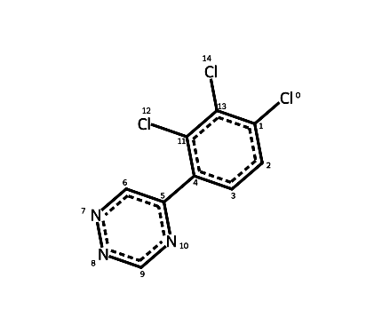 Clc1ccc(-c2cnncn2)c(Cl)c1Cl